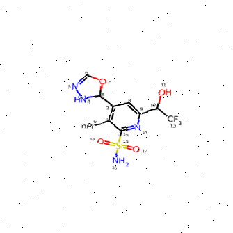 CCCc1c(C2NN=CO2)cc(C(O)C(F)(F)F)nc1S(N)(=O)=O